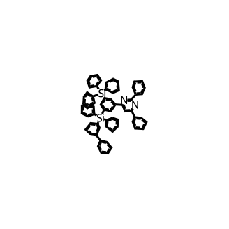 c1ccc(-c2cccc([Si](c3ccccc3)(c3ccccc3)c3cc(-c4cc(-c5ccccc5)nc(-c5ccccc5)n4)cc([Si](c4ccccc4)(c4ccccc4)c4ccccc4)c3)c2)cc1